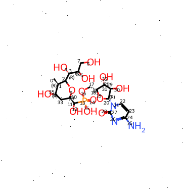 C[C@H]1C([C@H](O)[C@H](O)CO)O[C@@H](C(O)P(=O)(O)OC[C@H]2O[C@@H](n3ccc(N)nc3=O)C(O)[C@H]2O)C[C@H]1O